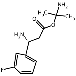 CC(C)(N)OC(=O)C[C@@H](N)c1cccc(F)c1